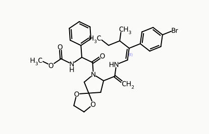 C=C(N/C=C(/c1ccc(Br)cc1)C(C)CC)C1CC2(CN1C(=O)C(NC(=O)OC)c1ccccc1)OCCO2